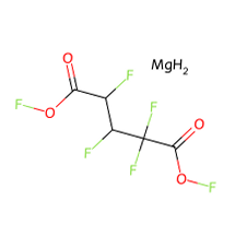 O=C(OF)C(F)C(F)C(F)(F)C(=O)OF.[MgH2]